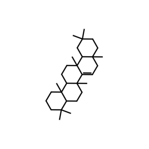 CC1(C)CCC2(C)CC=C3C(C)(CCC4C3(C)CCC3C(C)(C)CCCC34C)C2C1